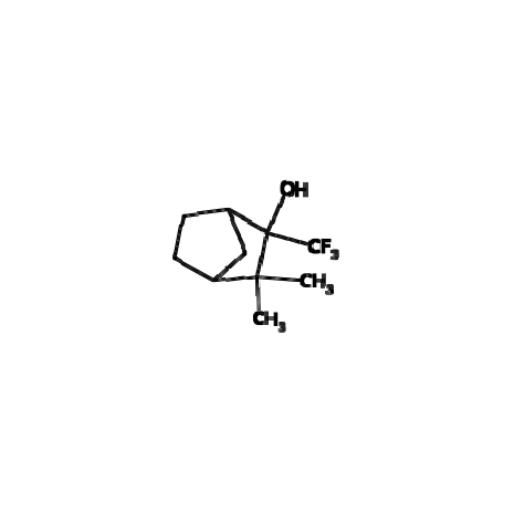 CC1(C)C2CCC(C2)C1(O)C(F)(F)F